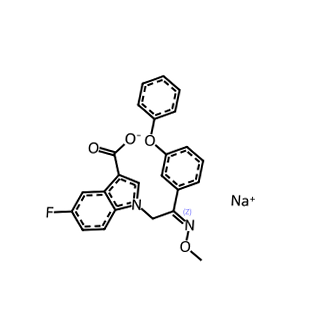 CO/N=C(\Cn1cc(C(=O)[O-])c2cc(F)ccc21)c1cccc(Oc2ccccc2)c1.[Na+]